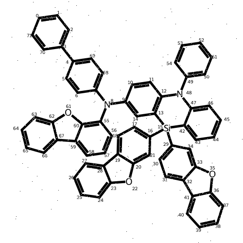 c1ccc(-c2ccc(N(c3ccc4c(c3)[Si](c3ccc5c(c3)oc3ccccc35)(c3ccc5c(c3)oc3ccccc35)c3ccccc3N4c3ccccc3)c3cccc4c3oc3ccccc34)cc2)cc1